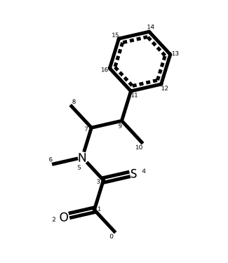 CC(=O)C(=S)N(C)C(C)C(C)c1ccccc1